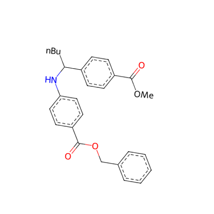 CCCCC(Nc1ccc(C(=O)OCc2ccccc2)cc1)c1ccc(C(=O)OC)cc1